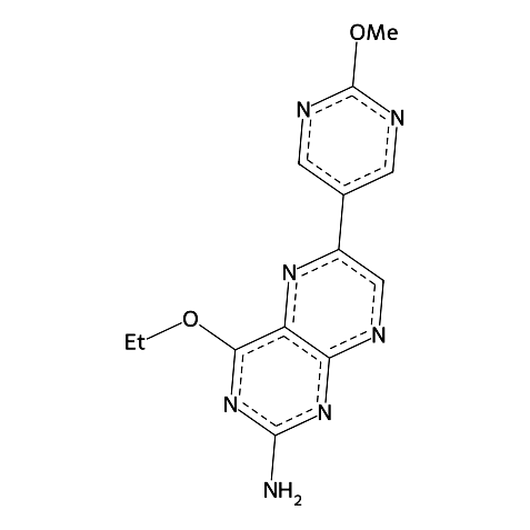 CCOc1nc(N)nc2ncc(-c3cnc(OC)nc3)nc12